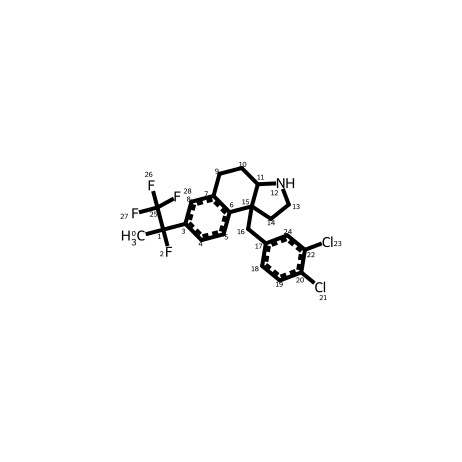 CC(F)(c1ccc2c(c1)CCC1NCCC21Cc1ccc(Cl)c(Cl)c1)C(F)(F)F